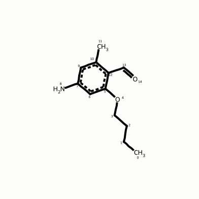 CCCCOc1cc(N)cc(C)c1C=O